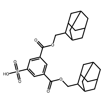 O=C(OCC1C2CC3CC(C2)CC1C3)c1cc(C(=O)OCC2C3CC4CC(C3)CC2C4)cc(S(=O)(=O)O)c1